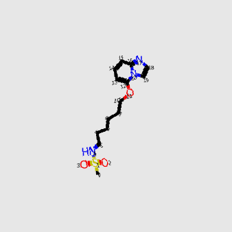 CS(=O)(=O)NCCCCCCOc1cccc2nccn12